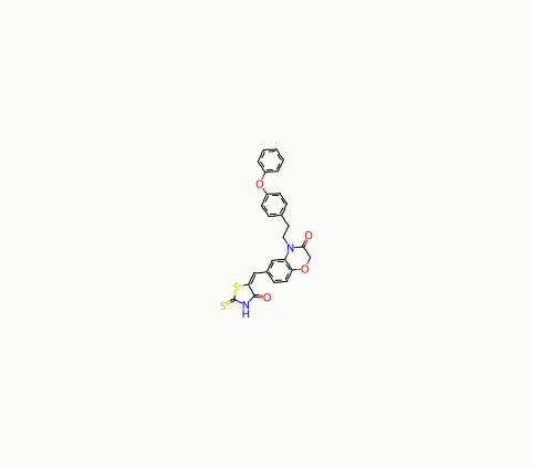 O=C1NC(=S)S/C1=C/c1ccc2c(c1)N(CCc1ccc(Oc3ccccc3)cc1)C(=O)CO2